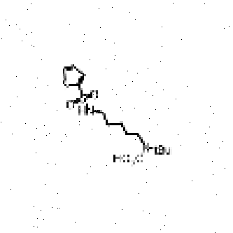 CC(C)(C)N(CCCCCNS(=O)(=O)c1cccs1)C(=O)O